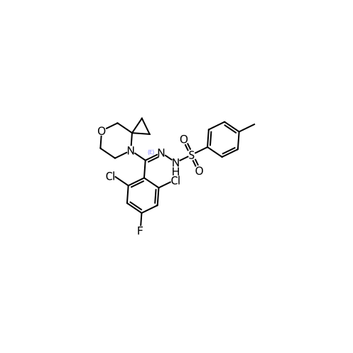 Cc1ccc(S(=O)(=O)N/N=C(\c2c(Cl)cc(F)cc2Cl)N2CCOCC23CC3)cc1